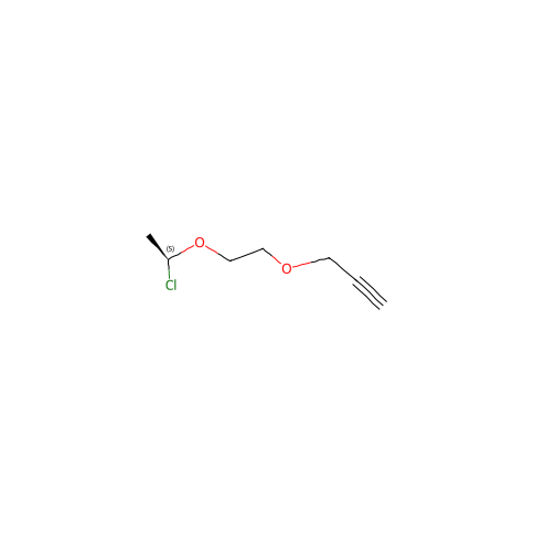 C#CCOCCO[C@H](C)Cl